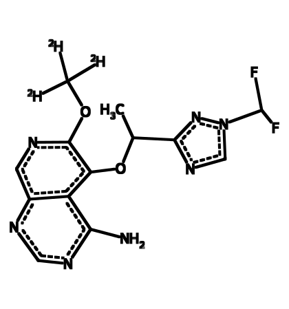 [2H]C([2H])([2H])Oc1ncc2ncnc(N)c2c1OC(C)c1ncn(C(F)F)n1